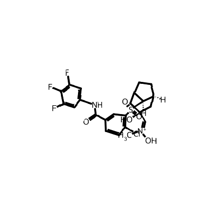 C/[N+](O)=C\[C@]1(O)CC2CC[C@@H](C1)[C@H]2S(=O)(=O)c1cc(C(=O)Nc2cc(F)c(F)c(F)c2)ccc1Cl